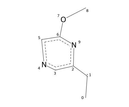 C[CH]c1cncc(OC)n1